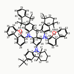 CC(C)(C)c1ccc2c(c1)C1(C)CCCCC1(C)N2c1cc2c3c(c1)N(c1cccc4c1oc1ccccc14)c1cc4c(cc1B3c1cc3c(cc1N2c1cccc2c1oc1ccccc12)C(C)(C)CCC3(C)C)C(C)(C)c1ccccc1C4(C)C